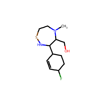 CN1CCSNC(C2C=CC(F)CC2)C1CO